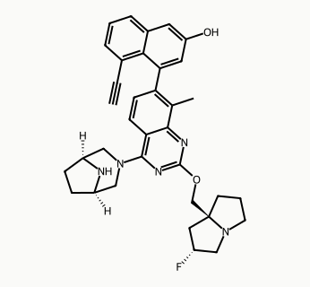 C#Cc1cccc2cc(O)cc(-c3ccc4c(N5C[C@H]6CC[C@@H](C5)N6)nc(OC[C@@]56CCCN5C[C@H](F)C6)nc4c3C)c12